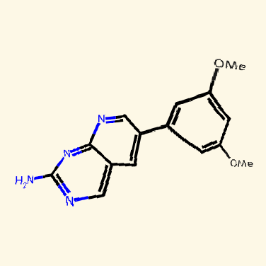 COc1cc(OC)cc(-c2cnc3nc(N)ncc3c2)c1